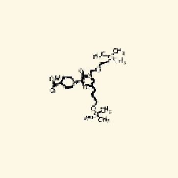 COC(=O)C1CCN(c2nc(CCCO[Si](C)(C)C(C)(C)C)cn(COCC[Si](C)(C)C)c2=O)CC1